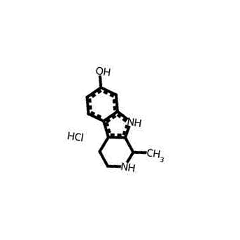 CC1NCCc2c1[nH]c1cc(O)ccc21.Cl